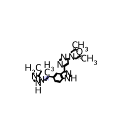 C=CC1=NCNN1/C=C(\C)c1ccc2[nH]nc(-c3cc(N4C[C@@H](C)O[C@@H](C)C4)ncn3)c2c1